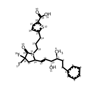 C[C@@H](CCc1ccccc1)[C@H](O)C=CC1CC(F)(F)C(=O)N1CCCc1ccc(C(=O)O)s1